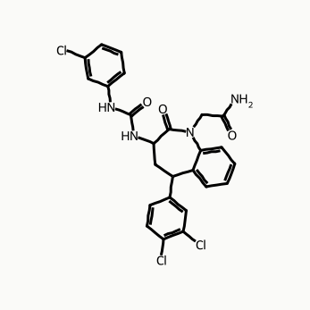 NC(=O)CN1C(=O)C(NC(=O)Nc2cccc(Cl)c2)CC(c2ccc(Cl)c(Cl)c2)c2ccccc21